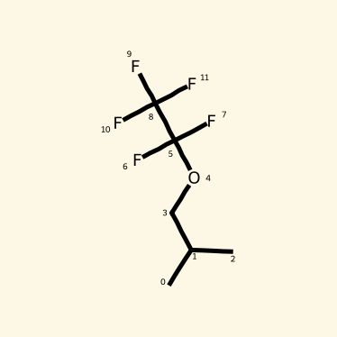 CC(C)COC(F)(F)C(F)(F)F